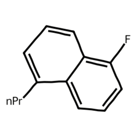 [CH2]CCc1cccc2c(F)cccc12